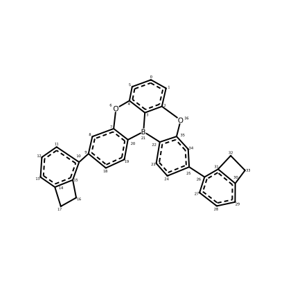 c1cc2c3c(c1)Oc1cc(-c4cccc5c4CC5)ccc1B3c1ccc(-c3cccc4c3CC4)cc1O2